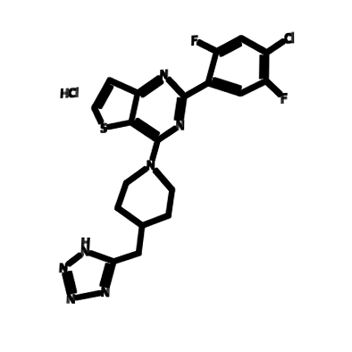 Cl.Fc1cc(-c2nc(N3CCC(Cc4nnn[nH]4)CC3)c3sccc3n2)c(F)cc1Cl